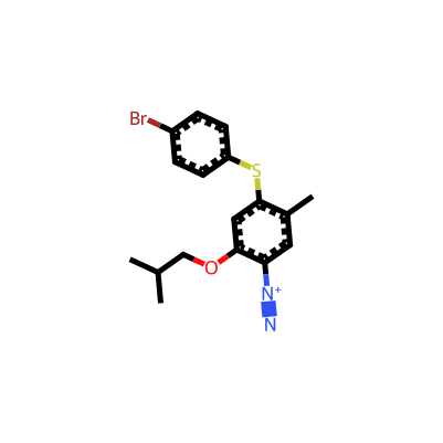 Cc1cc([N+]#N)c(OCC(C)C)cc1Sc1ccc(Br)cc1